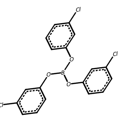 Clc1cccc(OB(Oc2cccc(Cl)c2)Oc2cccc(Cl)c2)c1